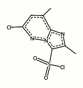 Cc1nc2c(C)cc(Cl)nn2c1S(=O)(=O)Cl